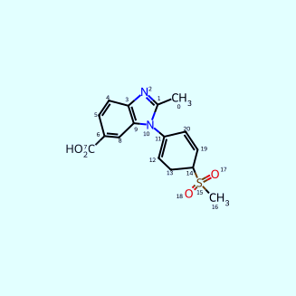 Cc1nc2ccc(C(=O)O)cc2n1C1=CCC(S(C)(=O)=O)C=C1